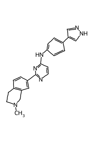 CN1CCc2ccc(-c3nccc(Nc4ccc(-c5cn[nH]c5)cc4)n3)cc2C1